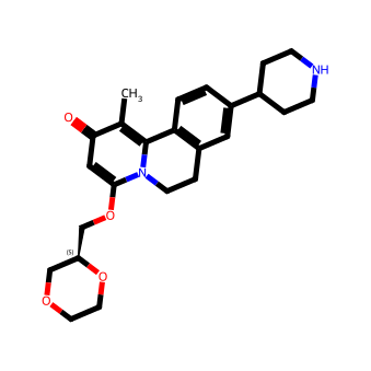 Cc1c2n(c(OC[C@@H]3COCCO3)cc1=O)CCc1cc(C3CCNCC3)ccc1-2